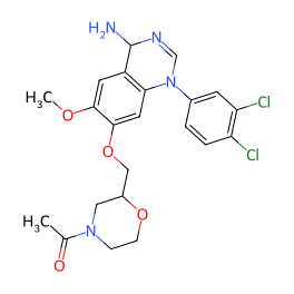 COc1cc2c(cc1OCC1CN(C(C)=O)CCO1)N(c1ccc(Cl)c(Cl)c1)C=NC2N